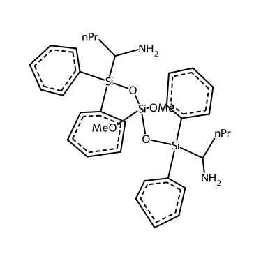 CCCC(N)[Si](O[Si](OC)(OC)O[Si](c1ccccc1)(c1ccccc1)C(N)CCC)(c1ccccc1)c1ccccc1